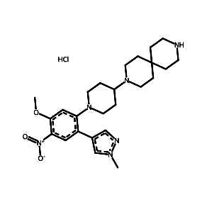 COc1cc(N2CCC(N3CCC4(CCNCC4)CC3)CC2)c(-c2cnn(C)c2)cc1[N+](=O)[O-].Cl